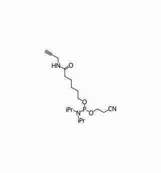 C#CCNC(=O)CCCCCOP(OCCC#N)N(C(C)C)C(C)C